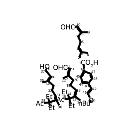 CC(=O)O.CC(C)=CCCC(C)=CC=O.CCC(CC)(C(C)=O)C(C)=CCC/C(C)=C/C=O.CCC(CC)(C(C)=O)C(C)=CCC/C(C)=C/CO.CCCCOC=Cc1ccccc1